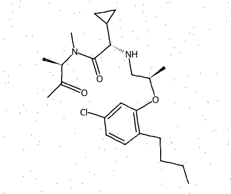 CCCCc1ccc(Cl)cc1O[C@H](C)CN[C@H](C(=O)N(C)[C@H](C)C(C)=O)C1CC1